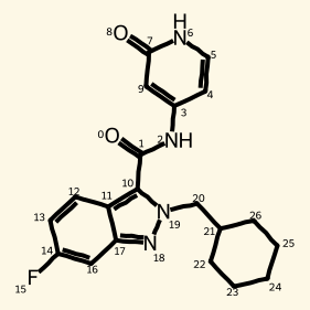 O=C(Nc1cc[nH]c(=O)c1)c1c2ccc(F)cc2nn1CC1CCCCC1